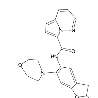 CC1Cc2cc(NC(=O)c3ccc4cccnn34)c(N3CCOCC3)cc2O1